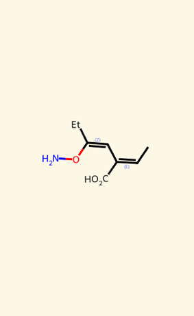 C/C=C(\C=C(\CC)ON)C(=O)O